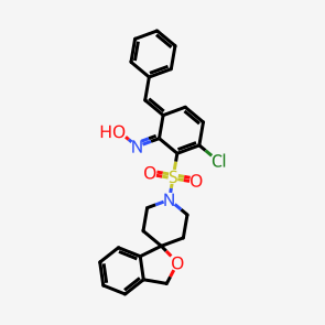 O=S(=O)(C1=C(Cl)C=CC(=C\c2ccccc2)/C1=N\O)N1CCC2(CC1)OCc1ccccc12